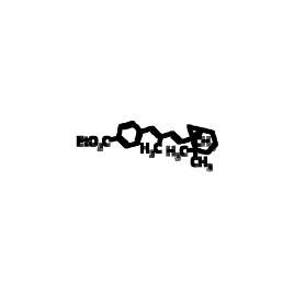 CCOC(=O)c1ccc(/C=C(C)/C=C/C23CC2(C)CCCC3(C)C)cc1